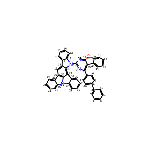 c1ccc(-c2ccc(-c3nc(-n4c5ccccc5c5cc6c7ccccc7n7c8ccccc8c(c54)c67)nc4oc5ccccc5c34)cc2)cc1